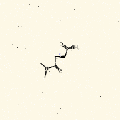 CN(C)C(=O)/C=C/C(N)=O